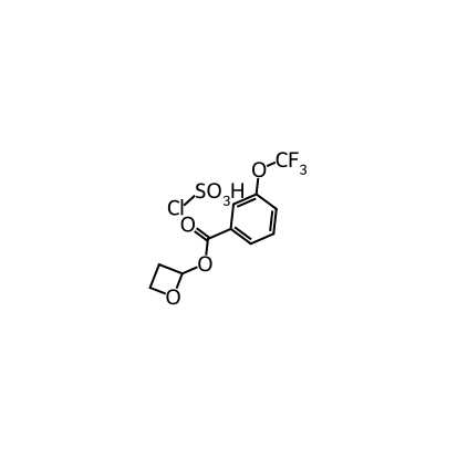 O=C(OC1CCO1)c1cccc(OC(F)(F)F)c1.O=S(=O)(O)Cl